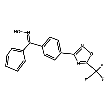 O/N=C(\c1ccccc1)c1ccc(-c2noc(C(F)(F)F)n2)cc1